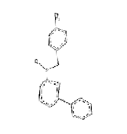 [O-][S+](Cc1ccc(C(F)(F)F)cc1)c1cccc(-c2ccccc2)c1